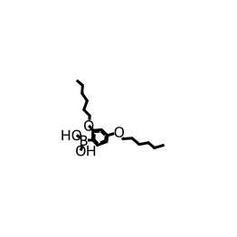 CCCCCCOc1ccc(B(O)O)c(OCCCCCC)c1